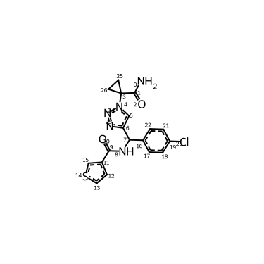 NC(=O)C1(n2cc(C(NC(=O)c3ccsc3)c3ccc(Cl)cc3)nn2)CC1